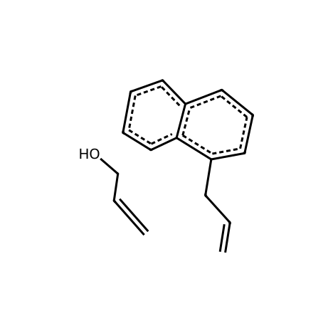 C=CCO.C=CCc1cccc2ccccc12